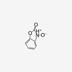 O=C1Oc2ccccc2[NH+]1[O-]